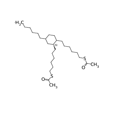 [CH2]CCCCCC1CCC(CCCCCCSC(C)=O)[C@@H](CCCCCCSC(C)=O)C1